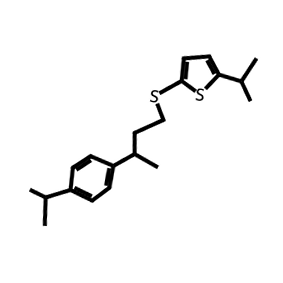 CC(C)c1ccc(C(C)CCSc2ccc(C(C)C)s2)cc1